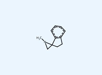 CN1CC12CCc1ccccc12